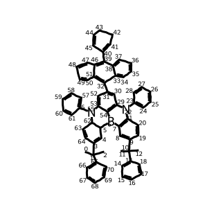 CC(C)(C1=CC2B3c4cc(C(C)(C)c5ccccc5)ccc4N(c4ccccc4)c4cc(-c5c6ccccc6c(C6=CCCC=C6)c6ccccc56)cc(c43)N(c3ccccc3)C2C=C1)c1ccccc1